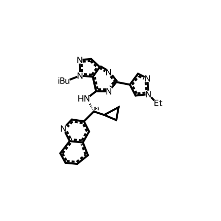 CCC(C)n1ncc2nc(-c3cnn(CC)c3)nc(N[C@@H](c3cnc4ccccc4c3)C3CC3)c21